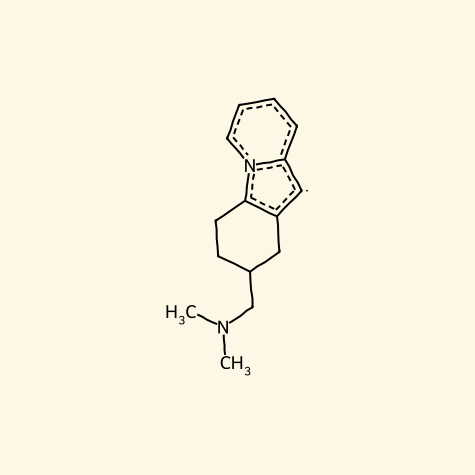 CN(C)CC1CCc2c([c]c3ccccn23)C1